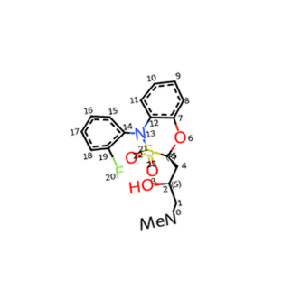 CNC[C@@H](O)C[C@@H]1Oc2ccccc2N(c2ccccc2F)S1(=O)=O